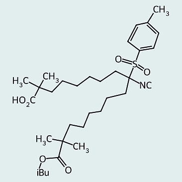 [C-]#[N+]C(CCCCCCC(C)(C)C(=O)O)(CCCCCCC(C)(C)C(=O)OC(C)CC)S(=O)(=O)c1ccc(C)cc1